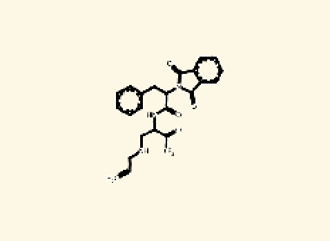 C=CCNCC(NC(=O)C(Cc1ccccc1)N1C(=O)c2ccccc2C1=O)C(=O)C(F)(F)F